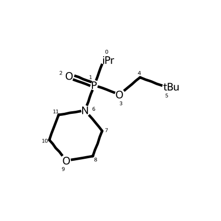 CC(C)P(=O)(OCC(C)(C)C)N1CCOCC1